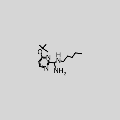 CCCCCNC(N)c1nccc(OC(C)(C)C)n1